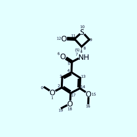 COc1cc(C(=O)N[C@H]2CSC2=O)cc(OC)c1OC